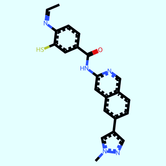 C/C=N\c1ccc(C(=O)Nc2cc3cc(-c4cnn(C)c4)ccc3cn2)cc1S